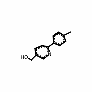 Cc1ccc(-c2ccc(CO)cn2)cc1